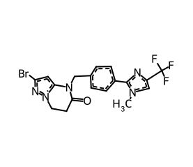 Cn1cc(C(F)(F)F)nc1-c1ccc(CN2C(=O)CCn3nc(Br)cc32)cc1